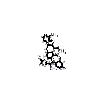 CCCc1nc2c(C)nccn2c1Cc1ccc2c(c1)COc1cc(F)ccc1/C2=C(\C)c1noc(=O)[nH]1